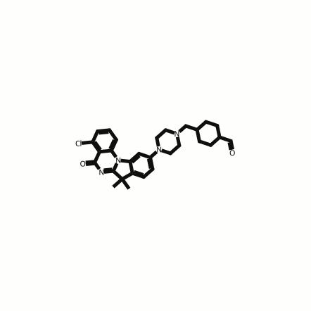 CC1(C)c2ccc(N3CCN(CC4CCC(C=O)CC4)CC3)cc2-n2c1nc(=O)c1c(Cl)cccc12